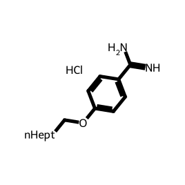 CCCCCCCCOc1ccc(C(=N)N)cc1.Cl